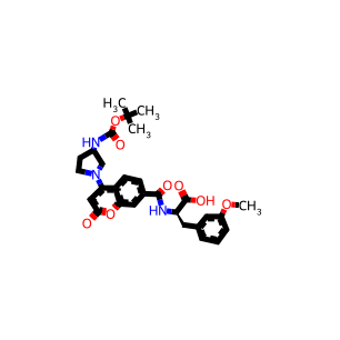 COc1cccc(C[C@@H](NC(=O)c2ccc3c(N4CCC(NC(=O)OC(C)(C)C)C4)cc(=O)oc3c2)C(=O)O)c1